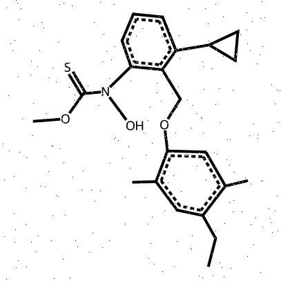 CCc1cc(C)c(OCc2c(C3CC3)cccc2N(O)C(=S)OC)cc1C